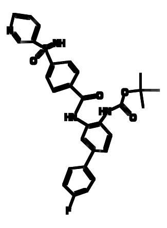 CC(C)(C)OC(=O)Nc1ccc(-c2ccc(F)cc2)cc1NC(=O)c1ccc(S(=N)(=O)c2cccnc2)cc1